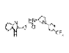 O=C(C[C@@H]1C[C@H]1c1nc2ccccc2[nH]1)N[C@H]1CCN(c2ccc(C(F)(F)F)cc2)C1